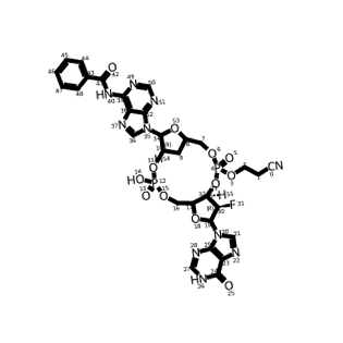 N#CCCOP1(=O)OCC2C[C@@H](OP(=O)(O)OCC3OC(n4cnc5c(=O)[nH]cnc54)[C@H](F)[C@@H]3O1)C(n1cnc3c(NC(=O)c4ccccc4)ncnc31)O2